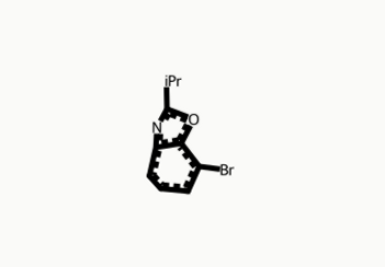 CC(C)c1nc2cccc(Br)c2o1